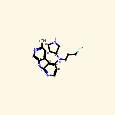 N#Cc1cc2c(cn1)[nH]c1nccc(N(CCCF)[C@H]3CCNC3)c12